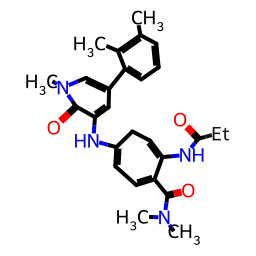 CCC(=O)NC1=CCC(Nc2cc(-c3cccc(C)c3C)cn(C)c2=O)=CC=C1C(=O)N(C)C